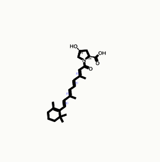 CC1=C(/C=C/C(C)=C/C=C/C(C)=C/C(=O)N2C[C@H](O)C[C@H]2C(=O)O)C(C)(C)CCC1